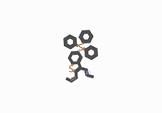 C/C=C\C1=C(/C=C/C)C2=CC(S(c3ccccc3)(c3ccccc3)c3ccccc3)=CCC2S1